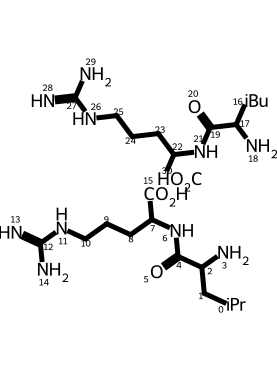 CC(C)CC(N)C(=O)NC(CCCNC(=N)N)C(=O)O.CCC(C)C(N)C(=O)NC(CCCNC(=N)N)C(=O)O